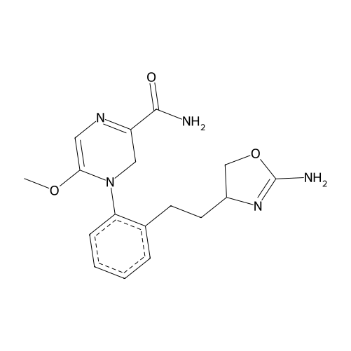 COC1=CN=C(C(N)=O)CN1c1ccccc1CCC1COC(N)=N1